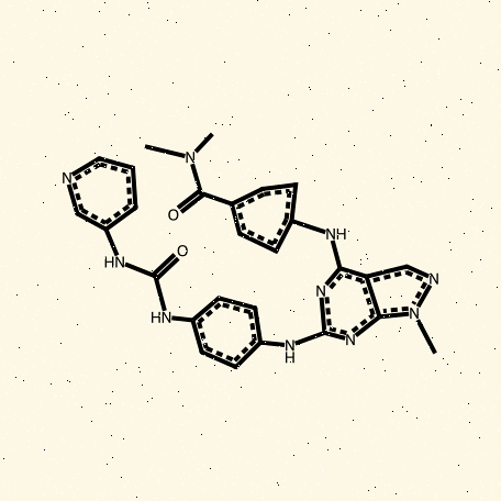 CN(C)C(=O)c1ccc(Nc2nc(Nc3ccc(NC(=O)Nc4cccnc4)cc3)nc3c2cnn3C)cc1